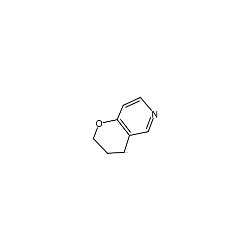 [CH]1CCOc2ccncc21